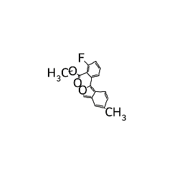 COC(=O)c1c(F)cccc1-c1occ2cc(C)ccc12